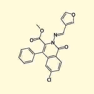 COC(=O)c1c(-c2ccccc2)c2cc(Cl)ccc2c(=O)n1N=Cc1ccoc1